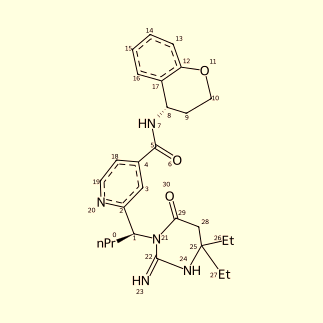 CCC[C@@H](c1cc(C(=O)N[C@H]2CCOc3ccccc32)ccn1)N1C(=N)NC(CC)(CC)CC1=O